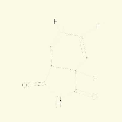 O=C1NC(=O)C2(F)C=C(F)C(F)=CC12